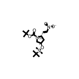 CC(C)(C)OC(=O)N1C[C@H](O[Si](C)(C)C(C)(C)C)C[C@H]1C=C[N+](=O)[O-]